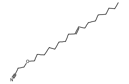 CCCCCCCCC=CCCCCCCCCOCCC#N